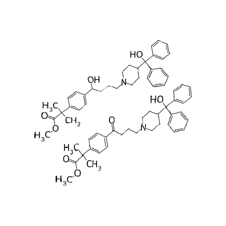 COC(=O)C(C)(C)c1ccc(C(=O)CCCN2CCC(C(O)(c3ccccc3)c3ccccc3)CC2)cc1.COC(=O)C(C)(C)c1ccc(C(O)CCCN2CCC(C(O)(c3ccccc3)c3ccccc3)CC2)cc1